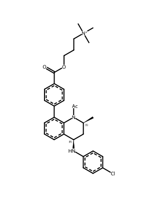 CC(=O)N1c2c(-c3ccc(C(=O)OCCC[N+](C)(C)C)cc3)cccc2[C@H](Nc2ccc(Cl)cc2)C[C@@H]1C